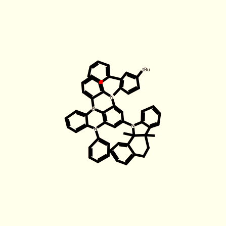 CC(C)(C)c1ccc(N2c3ccccc3B3c4ccccc4N(c4ccccc4)c4cc(N5c6ccccc6C6(C)CCc7ccccc7C56C)cc2c43)c(-c2ccccc2)c1